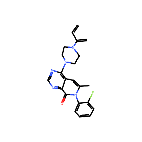 C=CC(=C)N1CCN(c2ncnc3c(=O)n(-c4ccccc4F)c(C)cc23)CC1